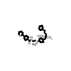 CC(CCCc1ccccc1)(Cc1ccc(OCCNC(=O)c2ccc(-c3ccccn3)cc2)cc1)C(=O)[O-].[Na+]